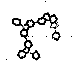 c1ccc(C2Nc3c(ccc4ccc5cc(-c6ccc7c(c6)c6cc(-c8ccc9c(c8)c8ccccc8n9-c8ccccc8)ccc6n7-c6ccccc6)ccc5c34)O2)cc1